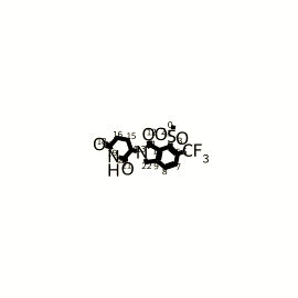 CS(=O)(=O)c1c(C(F)(F)F)ccc2c1C(=O)N(C1CCC(=O)NC1=O)C2